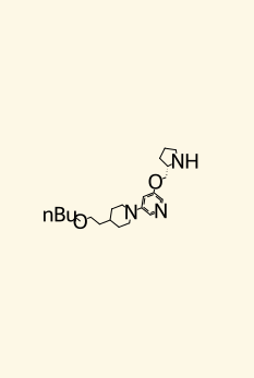 CCCCOCCC1CCN(c2cncc(OC[C@@H]3CCCN3)c2)CC1